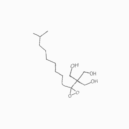 CC(C)CCCCCCCC1(C(CO)(CO)CO)OO1